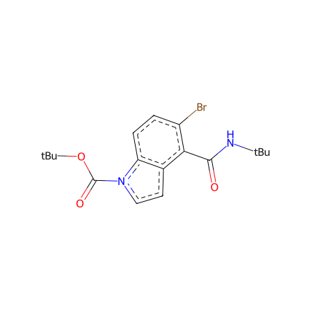 CC(C)(C)NC(=O)c1c(Br)ccc2c1ccn2C(=O)OC(C)(C)C